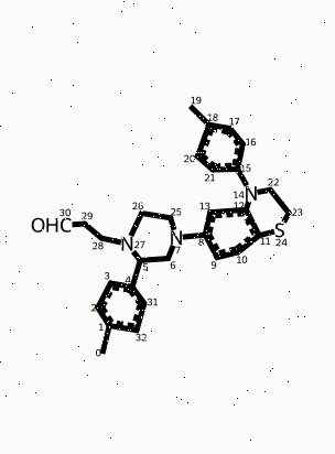 Cc1ccc(C2CN(c3ccc4c(c3)N(c3ccc(C)cc3)CCS4)CCN2CCC=O)cc1